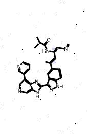 C=N/C=C(\C=C(/C)c1ccc2[nH]nc(-c3nc4c(-c5cccnc5)cncc4[nH]3)c2c1)NC(=O)C(C)C